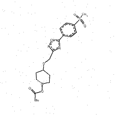 CC(C)(C)C(=O)ON1CCC(OCc2noc(-c3ccc(S(C)(=O)=O)cc3)n2)CC1